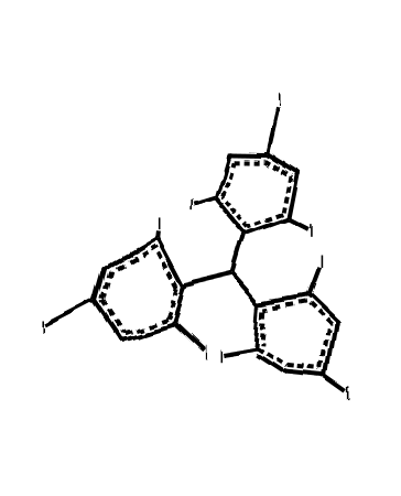 Ic1cc(I)c(C(c2c(I)cc(I)cc2I)c2c(I)cc(I)cc2I)c(I)c1